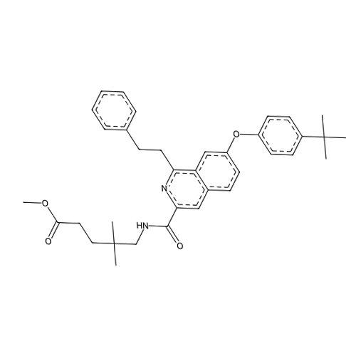 COC(=O)CCC(C)(C)CNC(=O)c1cc2ccc(Oc3ccc(C(C)(C)C)cc3)cc2c(CCc2ccccc2)n1